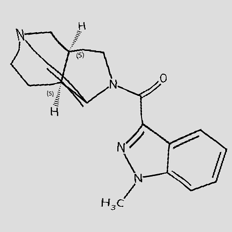 Cn1nc(C(=O)N2C[C@@H]3CN4C=C2[C@H]3CC4)c2ccccc21